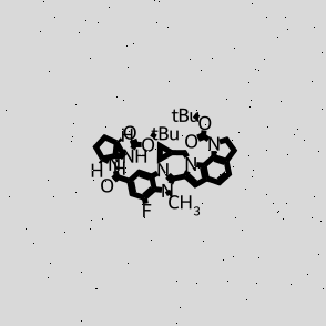 Cn1c(-c2cc3ccc4c(c3n2CC2CC2)N(C(=O)OC(C)(C)C)CC4)nc2cc(C(=O)N3C[C@H]4CC[C@@H]3[C@@H]4NC(=O)OC(C)(C)C)cc(F)c21